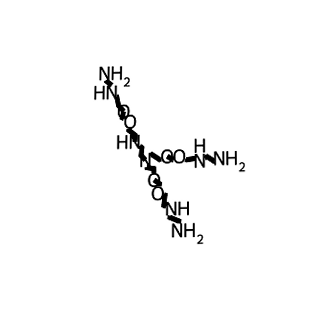 NCCNCCOCOCCNCCN(CCOCOCCNCCN)CCOCOCCNCCN